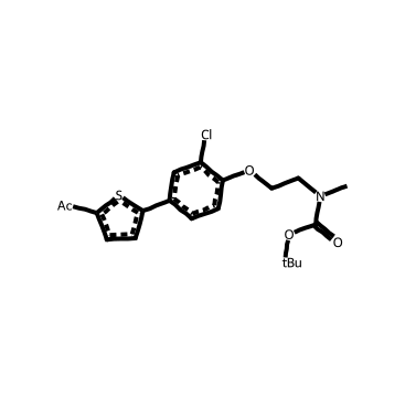 CC(=O)c1ccc(-c2ccc(OCCN(C)C(=O)OC(C)(C)C)c(Cl)c2)s1